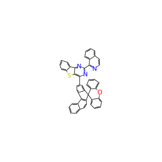 c1ccc2c(c1)Oc1ccccc1C21c2cc(-c3nc(-c4nccc5ccccc45)nc4c3sc3ccccc34)ccc2-c2c1ccc1ccccc21